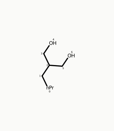 CCCC[C](CO)CO